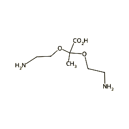 CC(OCCN)(OCCN)C(=O)O